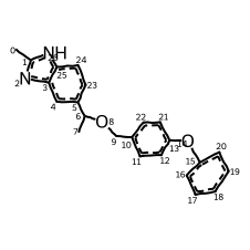 Cc1nc2cc(C(C)OCc3ccc(Oc4ccccc4)cc3)ccc2[nH]1